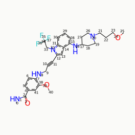 CNC(=O)c1ccc(NCC#Cc2cc3c(NC4CCN(CCCOC)CC4)cccc3n2CC(F)(F)F)c(OC)c1